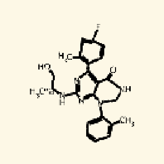 Cc1cc(F)ccc1-c1nc(N[C@H](C)CO)nc2c1C(=O)NCN2c1ccccc1C